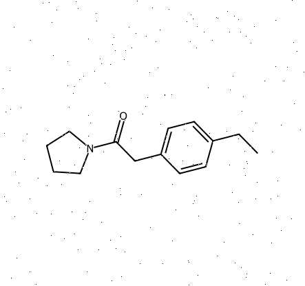 CCc1ccc(CC(=O)N2CCCC2)cc1